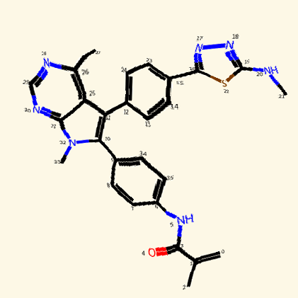 C=C(C)C(=O)Nc1ccc(-c2c(-c3ccc(-c4nnc(NC)s4)cc3)c3c(C)ncnc3n2C)cc1